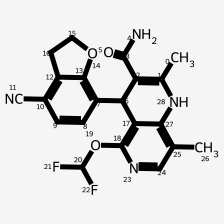 CC1=C(C(N)=O)C(c2ccc(C#N)c3c2OCC3)c2c(OC(F)F)ncc(C)c2N1